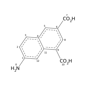 Nc1ccc2cc(C(=O)O)cc(C(=O)O)c2c1